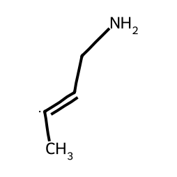 C[C]=CCN